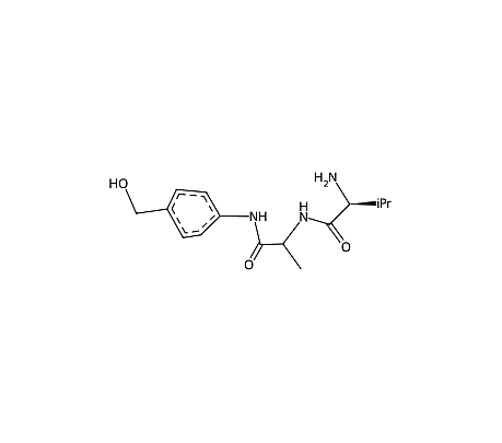 CC(NC(=O)[C@@H](N)C(C)C)C(=O)Nc1ccc(CO)cc1